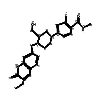 CCc1cc2ncc(CN3CCN(c4ccc(C(=O)NC)c(F)c4)CC3CO)cc2[nH]c1=O